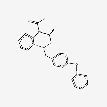 CC(=O)N1c2ccccc2N(Cc2ccc(Oc3ccccc3)cc2)C[C@@H]1C